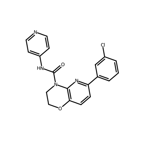 O=C(Nc1ccncc1)N1CCOc2ccc(-c3cccc(Cl)c3)nc21